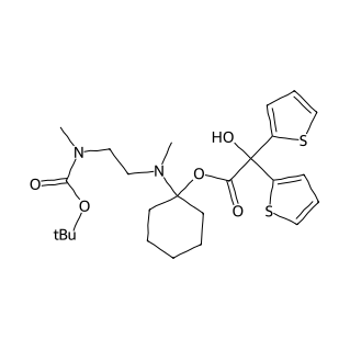 CN(CCN(C)C1(OC(=O)C(O)(c2cccs2)c2cccs2)CCCCC1)C(=O)OC(C)(C)C